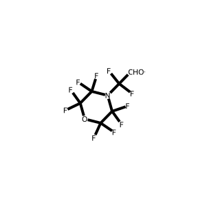 O=[C]C(F)(F)N1C(F)(F)C(F)(F)OC(F)(F)C1(F)F